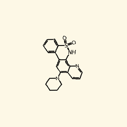 O=S1(=O)Nc2c(cc(N3CCCCC3)c3cccnc23)-c2ccccc21